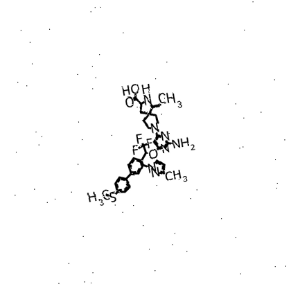 CCC1NC(C(=O)O)CC12CCN(c1cc(O[C@H](c3ccc(-c4ccc(SC)cc4)cc3-n3ccc(C)n3)C(F)(F)F)nc(N)n1)CC2